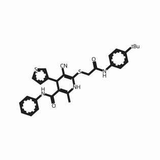 CC1=C(C(=O)Nc2ccccc2)C(c2ccsc2)C(C#N)=C(SCC(=O)Nc2ccc(C(C)(C)C)cc2)N1